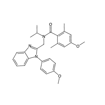 COc1ccc(-n2c(CN(C(=O)c3c(C)cc(OC)cc3C)C(C)C)nc3ccccc32)cc1